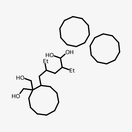 C1CCCCCCCCC1.C1CCCCCCCCC1.CCC(CC(CC)C(O)O)CC1CCCCCCCCC1(CO)CO